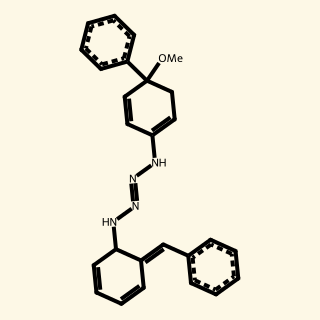 COC1(c2ccccc2)C=CC(NN=NNC2C=CC=CC2=Cc2ccccc2)=CC1